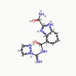 N=C(NC(=O)c1cccc2[nH]c(C(N)=O)nc12)n1cccn1